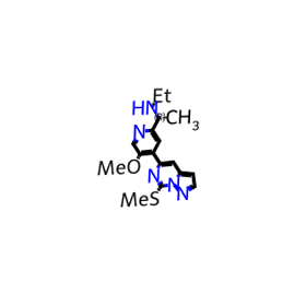 CCN[C@H](C)c1cc(-c2cc3ccnn3c(SC)n2)c(OC)cn1